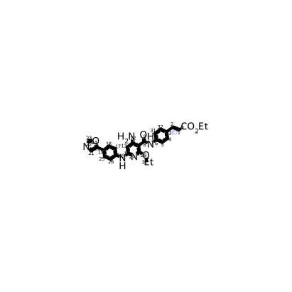 CCOC(=O)/C=C/c1ccc(NC(=O)c2c(N)cc(Nc3ccc(-c4cnco4)cc3)nc2OCC)cc1